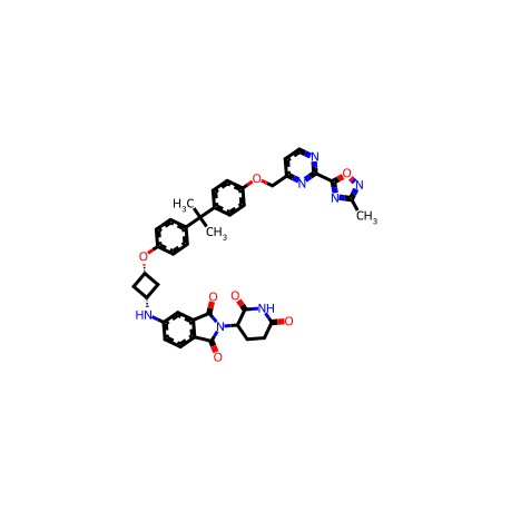 Cc1noc(-c2nccc(COc3ccc(C(C)(C)c4ccc(O[C@H]5C[C@@H](Nc6ccc7c(c6)C(=O)N(C6CCC(=O)NC6=O)C7=O)C5)cc4)cc3)n2)n1